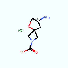 Cl.N[C@@H]1COC2(C1)CN(C(=O)O)C2